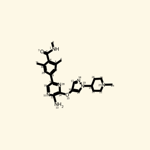 CNC(=O)c1c(C)cc(-c2cnc(N)c(Oc3cnn(C4CCN(C)CC4)c3)n2)cc1C